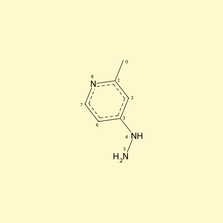 Cc1cc(NN)ccn1